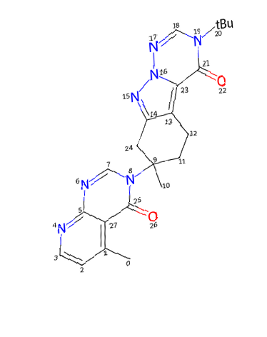 Cc1ccnc2ncn(C3(C)CCc4c(nn5ncn(C(C)(C)C)c(=O)c45)C3)c(=O)c12